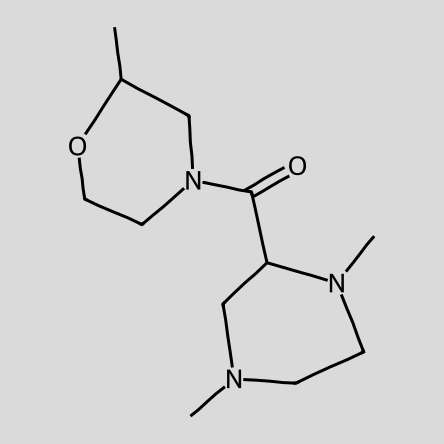 CC1CN(C(=O)C2CN(C)CCN2C)CCO1